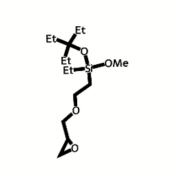 CCC(CC)(CC)O[Si](CC)(CCOCC1CO1)OC